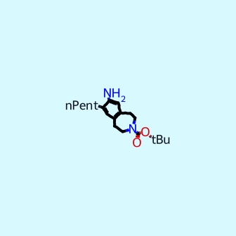 CCCCCc1cc2c(cc1N)CCN(C(=O)OC(C)(C)C)CC2